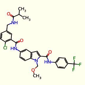 COCn1c(C(=O)Nc2ccc(C(F)(F)F)cc2)cc2cc(NC(=O)c3cc(CNC(=O)C(C)C)ccc3Cl)ccc21